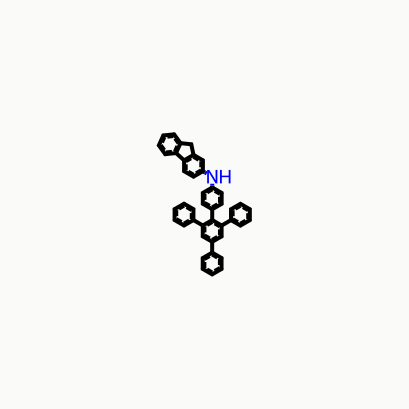 c1ccc(-c2cc(-c3ccccc3)c(-c3ccc(Nc4ccc5c(c4)Cc4ccccc4-5)cc3)c(-c3ccccc3)c2)cc1